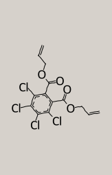 C=CCOC(=O)c1c(Cl)c(Cl)c(Cl)c(Cl)c1C(=O)OCC=C